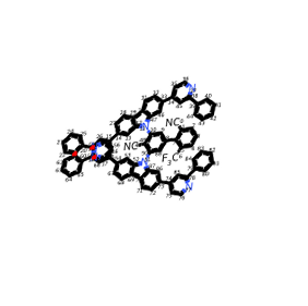 N#Cc1cccc(C(F)(F)F)c1-c1cc(-n2c3cc(-c4ccnc(-c5ccccc5)c4)ccc3c3ccc(-c4ccnc(-c5ccccc5)c4)cc32)c(C#N)c(-n2c3cc(-c4ccnc(-c5ccccc5)c4)ccc3c3ccc(-c4ccnc(-c5ccccc5)c4)cc32)c1